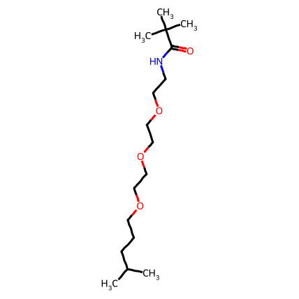 CC(C)CCCOCCOCCOCCNC(=O)C(C)(C)C